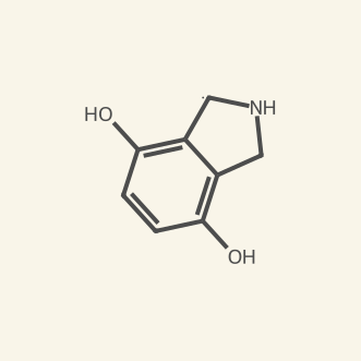 Oc1ccc(O)c2c1[CH]NC2